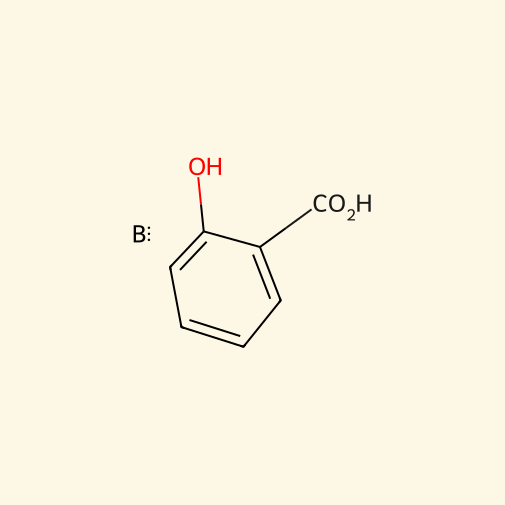 O=C(O)c1ccccc1O.[B]